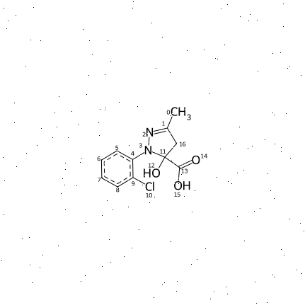 CC1=NN(c2ccccc2Cl)C(O)(C(=O)O)C1